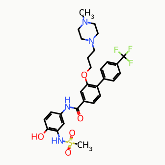 CN1CCN(CCCOc2cc(C(=O)Nc3ccc(O)c(NS(C)(=O)=O)c3)ccc2-c2ccc(C(F)(F)F)cc2)CC1